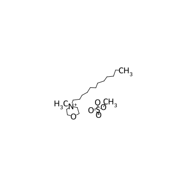 CCCCCCCCCCCC[N+]1(C)CCOCC1.COS(=O)(=O)[O-]